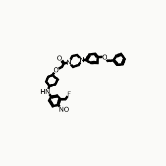 O=Nc1ccc(NC2CCC(OCC(=O)N3CCN(c4ccc(OCc5ccccc5)cc4)CC3)CC2)cc1CF